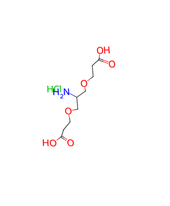 Cl.NC(COCCC(=O)O)COCCC(=O)O